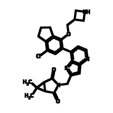 CC1(C)C2C(=O)N(Cc3cc4nccc(-c5cc(Cl)c6c(c5OCC5CNC5)CCC6)c4s3)C(=O)C21